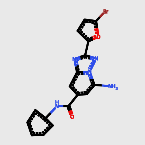 Nc1cc(C(=O)Nc2ccccc2)cc2nc(-c3ccc(Br)o3)nn12